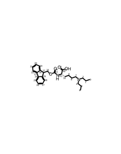 CCCN(CCC)CCCC[C@H](NC(=O)OCC1c2ccccc2-c2ccccc21)C(=O)O